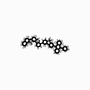 CC1(C)c2ccc(-c3cccc4c3sc3ccc5c6ccc7ccccc7c6sc5c34)cc2-c2ccc(-c3c4ccccc4c(-c4ccccc4)c4ccccc34)cc21